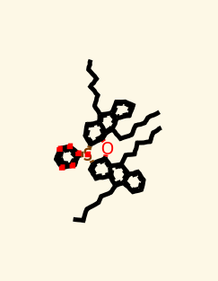 CCCCCCc1c2ccccc2c(CCCCCC)c2c(Oc3c(Sc4ccccc4)ccc4c(CCCCCC)c5ccccc5c(CCCCCC)c34)c(Sc3ccccc3)ccc12